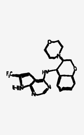 FC(F)(F)c1cc2c(NC3c4ccccc4OCC3N3CCOCC3)ncnc2[nH]1